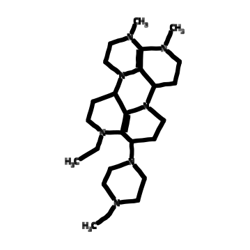 CCN1CCN(C2CCN3C4=C2N(CC)CCC4N2CCN(C)C4=C2C3CCN4C)CC1